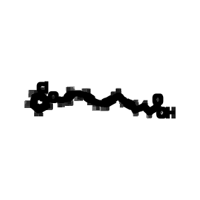 O=C(O)CCCC#CCC#CCC#CCC#CCOc1ccccc1Cl